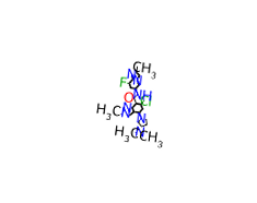 CCn1cc2c(N3CCC(N(C)C)C3)cc(Cl)c(C(=O)Nc3cc(F)c4nc(C)cn4c3)c2n1